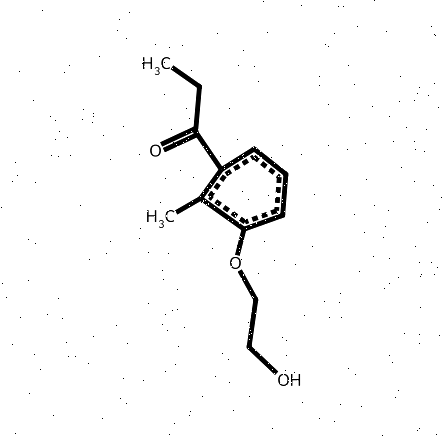 CCC(=O)c1cccc(OCCO)c1C